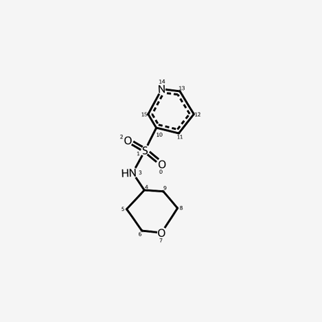 O=S(=O)(NC1CCOCC1)c1cccnc1